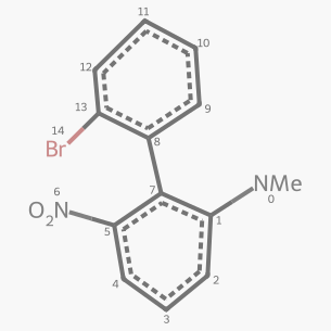 CNc1cccc([N+](=O)[O-])c1-c1ccccc1Br